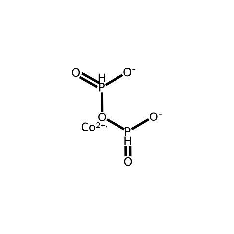 O=[PH]([O-])O[PH](=O)[O-].[Co+2]